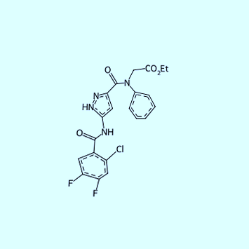 CCOC(=O)CN(C(=O)c1cc(NC(=O)c2cc(F)c(F)cc2Cl)[nH]n1)c1ccccc1